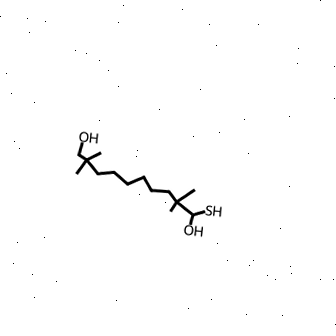 CC(C)(CO)CCCCCCC(C)(C)C(O)S